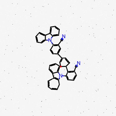 N#Cc1cc(C2=CCC(c3c(C#N)cccc3-n3c4c(c5ccccc53)C=CC=CC4)C=C2)ccc1-n1c2ccccc2c2ccccc21